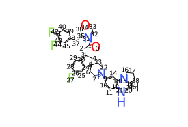 O=C(C[C@@H]1CC2(CCN(c3ccc4c(c3)N3CCC[C@H]3CN4)CC2)c2cc(F)ccc21)N1CCOC[C@H]1Cc1ccc(F)c(F)c1